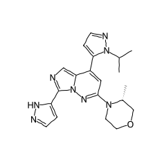 CC(C)n1nccc1-c1cc(N2CCOC[C@H]2C)nn2c(-c3ccn[nH]3)ncc12